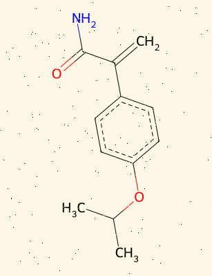 C=C(C(N)=O)c1ccc(OC(C)C)cc1